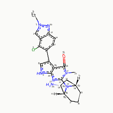 CCn1cc2c(Cl)c(-c3c[nH]c4nc(N5[C@H]6CCC[C@@H]5[C@H](N)C6)n(C)c(=O)c34)ccc2n1